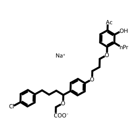 CCCc1c(OCCCOc2ccc(C(CCCc3ccc(Cl)cc3)OCC(=O)[O-])cc2)ccc(C(C)=O)c1O.[Na+]